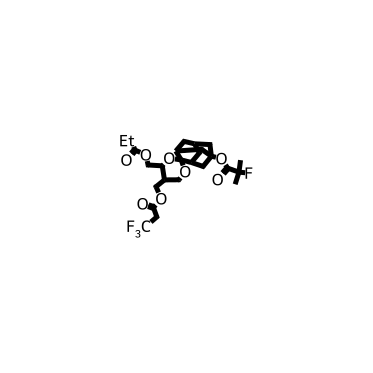 CCC(=O)OCC1OC2(OCC1COC(=O)CC(F)(F)F)C1CC3CC2CC(OC(=O)C(C)(C)F)(C3)C1